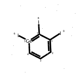 IC1=CC=[CH][Ge]([I])=[C]1I